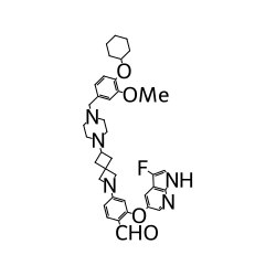 COc1cc(CN2CCN(C3CC4(C3)CN(c3ccc(C=O)c(Oc5cnc6[nH]cc(F)c6c5)c3)C4)CC2)ccc1OC1CCCCC1